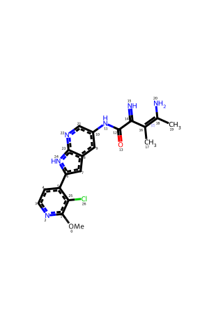 COc1nccc(-c2cc3cc(NC(=O)C(=N)/C(C)=C(/C)N)cnc3[nH]2)c1Cl